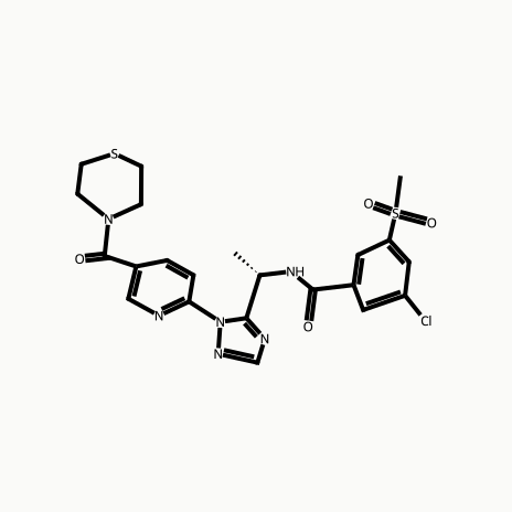 C[C@H](NC(=O)c1cc(Cl)cc(S(C)(=O)=O)c1)c1ncnn1-c1ccc(C(=O)N2CCSCC2)cn1